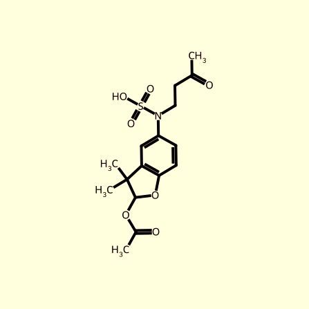 CC(=O)CCN(c1ccc2c(c1)C(C)(C)C(OC(C)=O)O2)S(=O)(=O)O